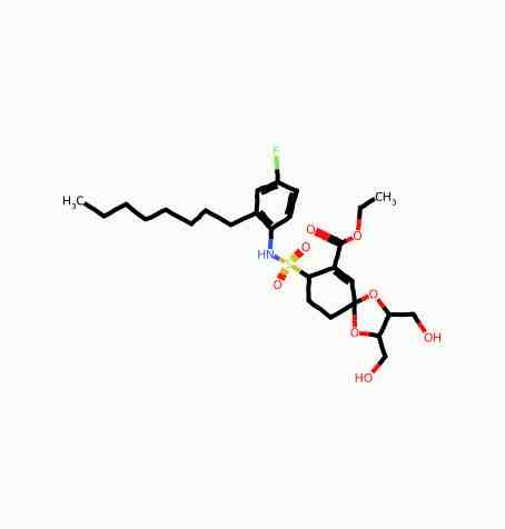 CCCCCCCCc1cc(F)ccc1NS(=O)(=O)C1CCC2(C=C1C(=O)OCC)OC(CO)C(CO)O2